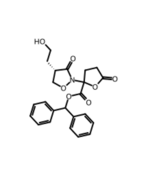 O=C1CCC(C(=O)OC(c2ccccc2)c2ccccc2)(N2OC[C@H](CCO)C2=O)O1